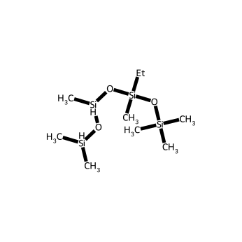 CC[Si](C)(O[SiH](C)O[SiH](C)C)O[Si](C)(C)C